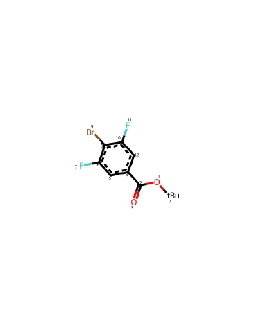 CC(C)(C)OC(=O)c1cc(F)c(Br)c(F)c1